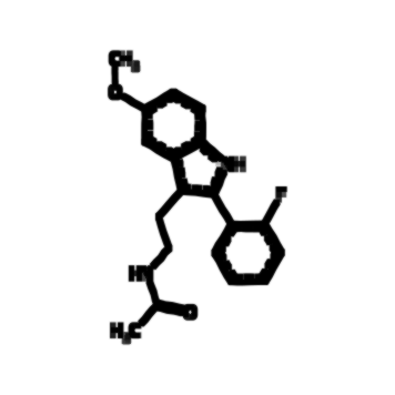 COc1ccc2[nH]c(-c3ccccc3F)c(CCNC(C)=O)c2c1